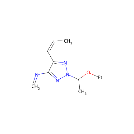 C=Nc1nn(C(C)OCC)nc1/C=C\C